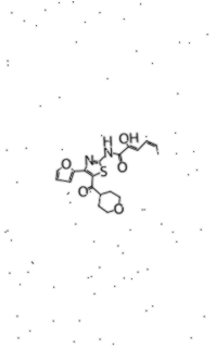 C/C=C\C=C(/O)C(=O)Nc1nc(-c2ccco2)c(C(=O)C2CCOCC2)s1